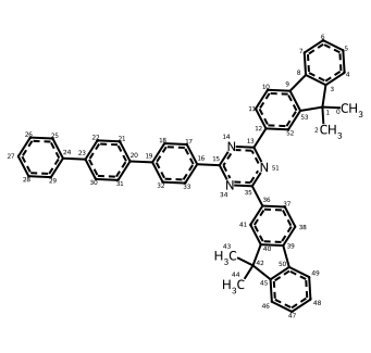 CC1(C)c2ccccc2-c2ccc(-c3nc(-c4ccc(-c5ccc(-c6ccccc6)cc5)cc4)nc(-c4ccc5c(c4)C(C)(C)c4ccccc4-5)n3)cc21